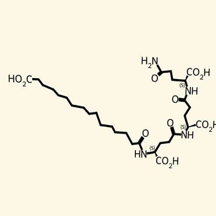 NC(=O)CC[C@H](NC(=O)CC[C@H](NC(=O)CC[C@H](NC(=O)CCCCCCCCCCCCCCC(=O)O)C(=O)O)C(=O)O)C(=O)O